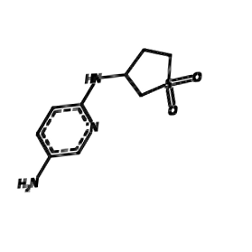 Nc1ccc(NC2CCS(=O)(=O)C2)nc1